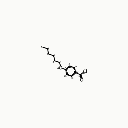 CCCCCCOc1ccc(C(=O)Cl)cc1